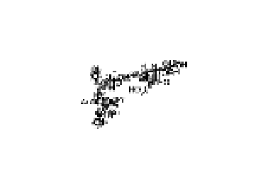 CCCC(=O)OCN(C(=O)[C@@H](NC(=O)[C@H]1CCCCN1C)C(C)CC)[C@H](C[C@@H](OC(C)=O)c1nc(CN[C@@H](Cc2ccc(O)cc2)C[C@H](C)C(=O)NNC(=O)OCCSSCCC(=O)NC(CCC(=O)NCC(O)C(O)C(O)C(O)CO)C(=O)NC(C=O)CCC(=O)O)cs1)C(C)C